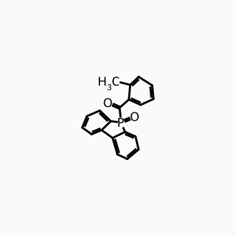 Cc1ccccc1C(=O)P1(=O)c2ccccc2-c2ccccc21